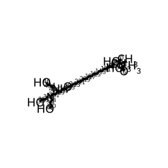 CC(=O)O.CC(=O)O.CCCCCCCCCCCCCCCCCCOCCCC(CCN(CCCO)CCCO)NCCCO